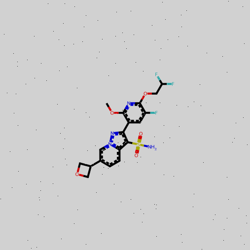 COc1nc(OCC(F)F)c(F)cc1-c1nn2cc(C3COC3)ccc2c1S(N)(=O)=O